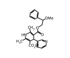 CCOC(=O)C1=C(C)NC(C)=C(C(=O)OCC(OC)c2ccccc2)C1c1cccnc1